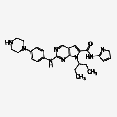 CCC(CC)n1c(C(=O)NC2=NCC=C2)cc2cnc(Nc3ccc(N4CCNCC4)cc3)nc21